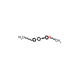 CCCCCCCc1ccc([C@H]2CC[C@H](C#Cc3ccc(OCCCCC)cc3)CC2)cc1